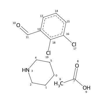 C1CCNCC1.CC(=O)O.O=Cc1cccc(Cl)c1Cl